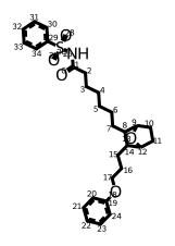 O=C(CCCCCCC1C2CCC(O2)C1CCCOc1ccccc1)NS(=O)(=O)c1ccccc1